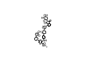 CN1CCN([C@@H]2CCCN(c3cnc(C(N)=O)c(Nc4ccc(C5CCN(C(=O)CNc6cccc7c6C(=O)N(C6CCC(O)NC6=O)C7=O)CC5)cc4)n3)C2)C1=O